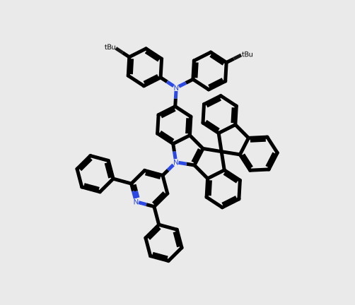 CC(C)(C)c1ccc(N(c2ccc(C(C)(C)C)cc2)c2ccc3c(c2)c2c(n3-c3cc(-c4ccccc4)nc(-c4ccccc4)c3)-c3ccccc3C23c2ccccc2-c2ccccc23)cc1